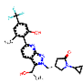 Cc1cc(C(F)(F)F)cc(O)c1-c1ccc2c([C@H](C)O)n(C[C@@H]3CC(=O)N(C4CC4)C3)nc2n1